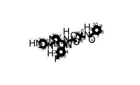 CC1(CNC(=O)c2ccccc2)COC(c2nc(-c3ccc(F)cc3)c(-c3ccnc(NC4CCNCC4)n3)[nH]2)OC1